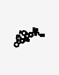 O=C(Nc1ccc2c(c1)N(CC(F)(F)F)C1CCCCC21)c1ccc(NS(=O)(=O)CCO)cc1N1CCC2(CC1)CC2